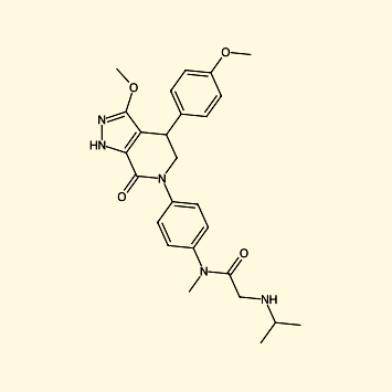 COc1ccc(C2CN(c3ccc(N(C)C(=O)CNC(C)C)cc3)C(=O)c3[nH]nc(OC)c32)cc1